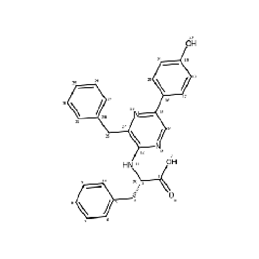 O=C(O)[C@H](Cc1ccccc1)Nc1ncc(-c2ccc(O)cc2)nc1Cc1ccccc1